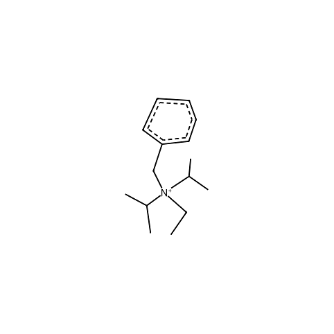 CC[N+](Cc1ccccc1)(C(C)C)C(C)C